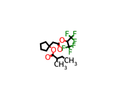 CCC(C)C(=O)OC1(CC(=O)OC(C(F)(F)F)C(F)(F)F)CCCC1